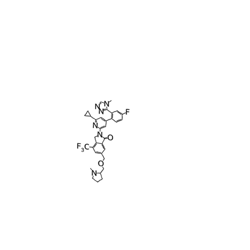 CN1CCCC1COCc1cc2c(c(C(F)(F)F)c1)CN(c1cc(-c3ccc(F)cc3-c3nncn3C)cc(C3CC3)n1)C2=O